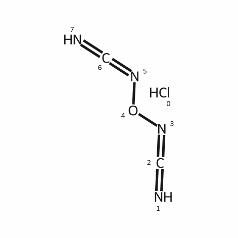 Cl.N=C=NON=C=N